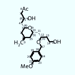 C=C1C[C@H](C[C@@H](O)CC(C)=O)O[C@H](C[C@H](CCO)OCc2ccc(OC)cc2)C1